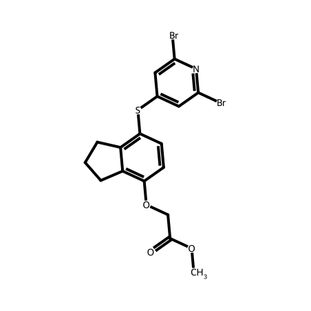 COC(=O)COc1ccc(Sc2cc(Br)nc(Br)c2)c2c1CCC2